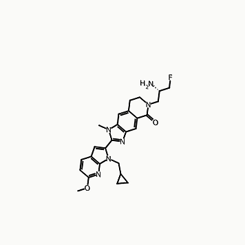 COc1ccc2cc(-c3nc4cc5c(cc4n3C)CCN(C[C@H](N)CF)C5=O)n(CC3CC3)c2n1